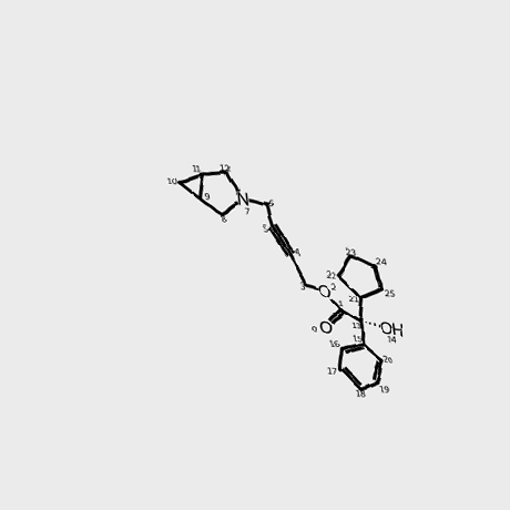 O=C(OCC#CCN1CC2CC2C1)[C@](O)(c1ccccc1)C1CCCC1